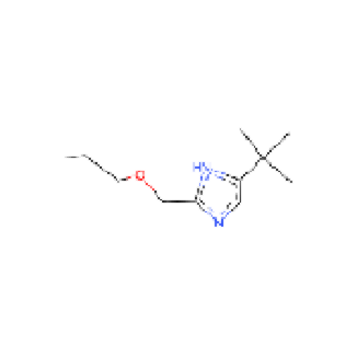 CCCOCc1ncc(C(C)(C)C)[nH]1